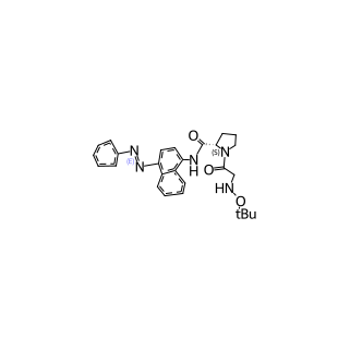 CC(C)(C)ONCC(=O)N1CCC[C@H]1C(=O)Nc1ccc(/N=N/c2ccccc2)c2ccccc12